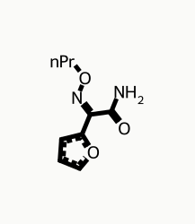 CCCON=C(C(N)=O)c1ccco1